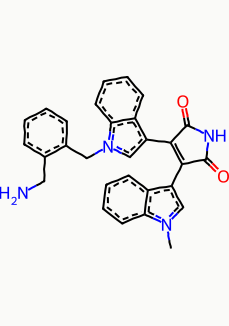 Cn1cc(C2=C(c3cn(Cc4ccccc4CN)c4ccccc34)C(=O)NC2=O)c2ccccc21